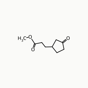 COC(=O)CCC1CCC(=O)C1